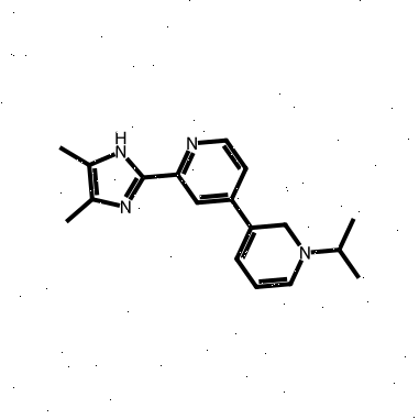 Cc1nc(-c2cc(C3=CC=CN(C(C)C)C3)ccn2)[nH]c1C